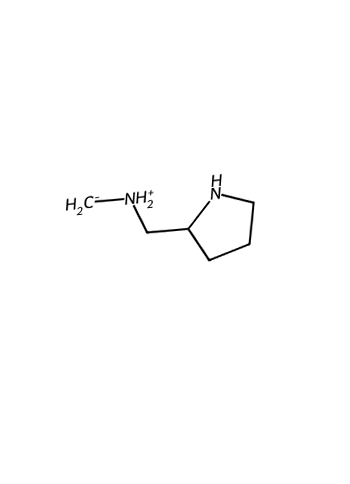 [CH2-][NH2+]CC1CCCN1